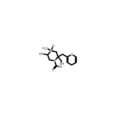 C[N+]1([O-])CC(CO)(CC2=CCC=CO2)N(C(=S)S)CC1O